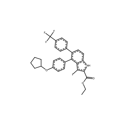 CCOC(=O)c1[nH]c2ccc(-c3ccc(C(F)(F)F)cc3)c(-c3ccc(OC4CCCC4)cc3)c2c1I